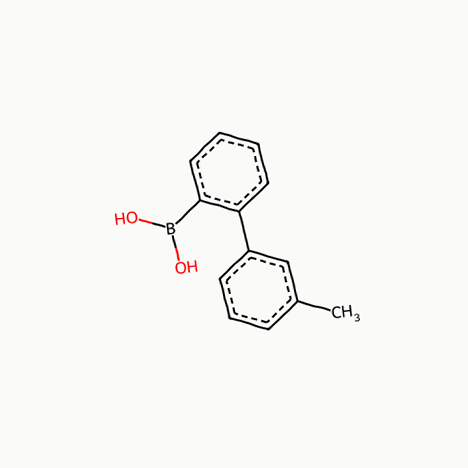 Cc1cccc(-c2ccccc2B(O)O)c1